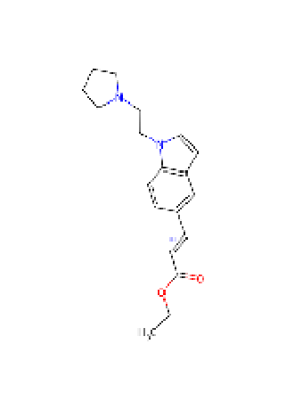 CCOC(=O)/C=C/c1ccc2c(ccn2CCN2CCCC2)c1